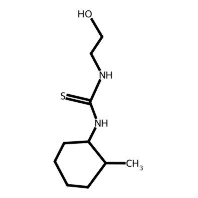 CC1CCCCC1NC(=S)NCCO